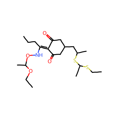 CCCC(NOC(C)OCC)=C1C(=O)CC(CC(C)SC(C)SCC)CC1=O